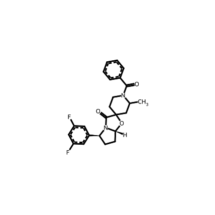 CC1CC2(CCN1C(=O)c1ccccc1)O[C@@H]1CC[C@@H](c3cc(F)cc(F)c3)N1C2=O